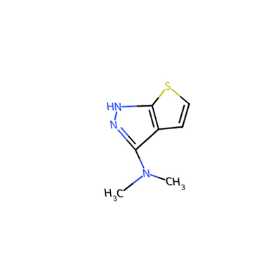 CN(C)c1n[nH]c2sccc12